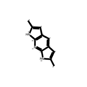 Cc1cc2cc3cc(C)[nH]c3nc2[nH]1